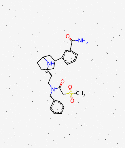 CS(=O)(=O)CC(=O)N(CC[C@]12CCC(CC(c3cccc(C(N)=O)c3)C1)N2)Cc1ccccc1